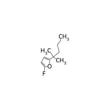 CCCCC(C)(C)c1ccc(F)o1